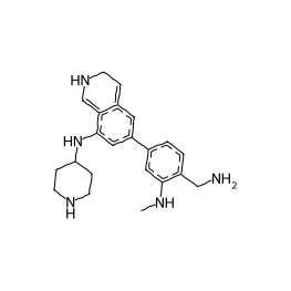 CNc1cc(-c2cc(NC3CCNCC3)c3c(c2)=CCNC=3)ccc1CN